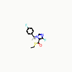 CCSC(=O)c1c(F)ncn1[C@H](C)c1ccc(F)cc1